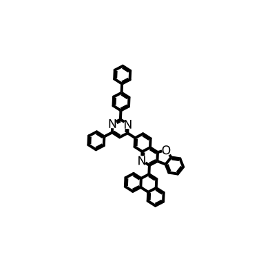 c1ccc(-c2ccc(-c3nc(-c4ccccc4)cc(-c4ccc5c(c4)nc(-c4cc6ccccc6c6ccccc46)c4c6ccccc6oc54)n3)cc2)cc1